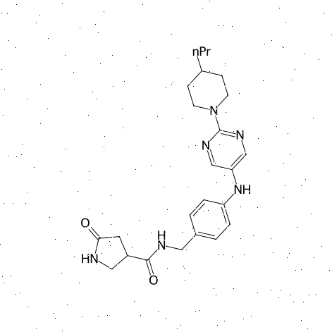 CCCC1CCN(c2ncc(Nc3ccc(CNC(=O)C4CNC(=O)C4)cc3)cn2)CC1